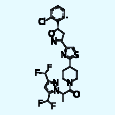 CC(C(=O)N1CCC(c2nc(C3=NO[C@@H](c4[c]cccc4Cl)C3)cs2)CC1)n1nc(C(F)F)cc1C(F)F